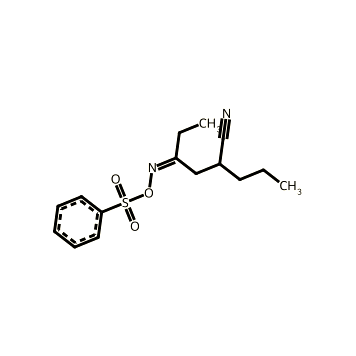 CCCC(C#N)CC(CC)=NOS(=O)(=O)c1ccccc1